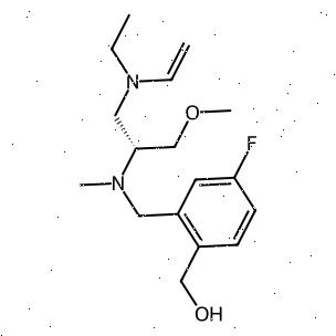 C=CN(CC)C[C@H](COC)N(C)Cc1cc(F)ccc1CO